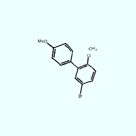 C.COc1ccc(-c2cc(Br)ccc2Cl)cc1